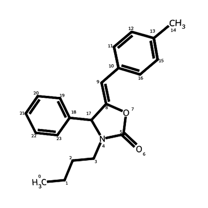 CCCCN1C(=O)OC(=Cc2ccc(C)cc2)C1c1ccccc1